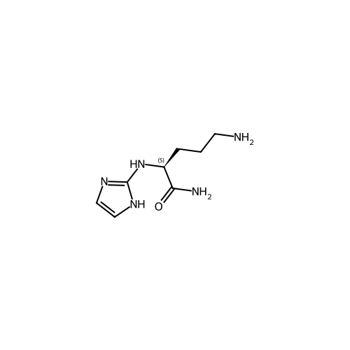 NCCC[C@H](Nc1ncc[nH]1)C(N)=O